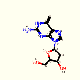 C=C1NC(N)=Nc2c1ncn2C1CC(O)C(CO)O1